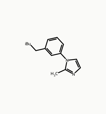 CCC(C)Cc1cccc(-n2ccnc2C)c1